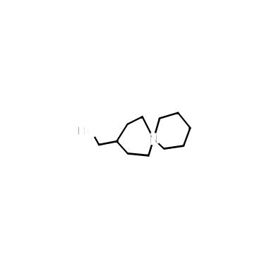 OCC1CC[N+]2(CCCCC2)CC1